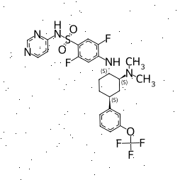 CN(C)[C@H]1C[C@@H](c2cccc(OC(F)(F)F)c2)CC[C@@H]1Nc1cc(F)c(S(=O)(=O)Nc2ccncn2)cc1F